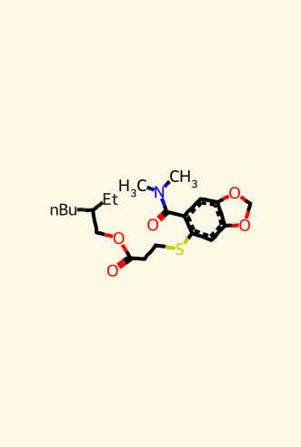 CCCCC(CC)COC(=O)CCSc1cc2c(cc1C(=O)N(C)C)OCO2